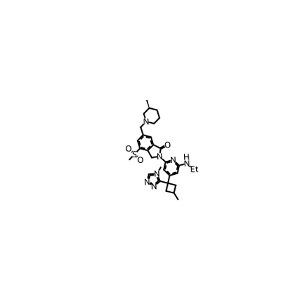 CCNc1cc(C2(c3nncn3C)CC(C)C2)cc(N2Cc3c(cc(CN4CCC[C@H](C)C4)cc3S(C)(=O)=O)C2=O)n1